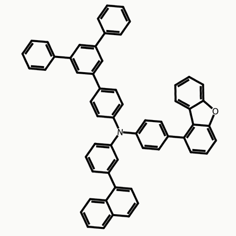 c1ccc(-c2cc(-c3ccccc3)cc(-c3ccc(N(c4ccc(-c5cccc6oc7ccccc7c56)cc4)c4cccc(-c5cccc6ccccc56)c4)cc3)c2)cc1